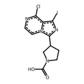 O=C(O)N1CCC(c2nc(I)c3c(Cl)nccn23)C1